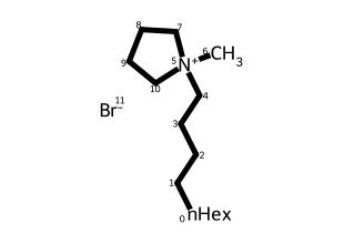 CCCCCCCCCC[N+]1(C)CCCC1.[Br-]